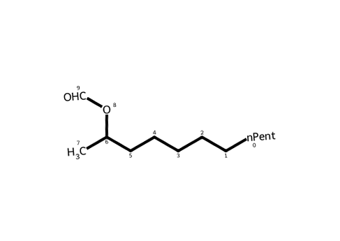 CCCCCCCCCCC(C)OC=O